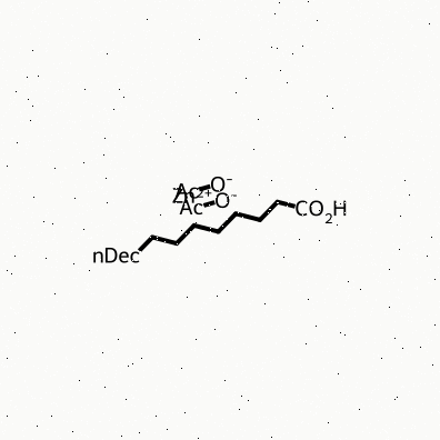 CC(=O)[O-].CC(=O)[O-].CCCCCCCCCCCCCCCCCC(=O)O.[Zn+2]